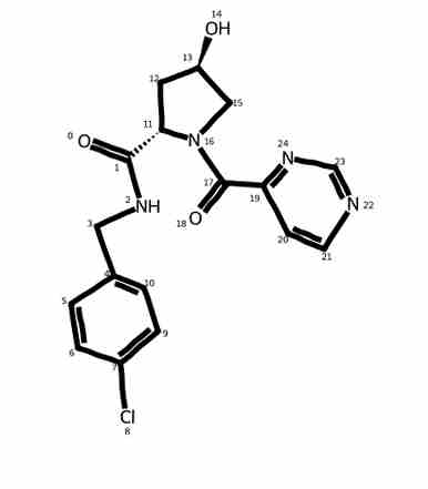 O=C(NCc1ccc(Cl)cc1)[C@@H]1C[C@@H](O)CN1C(=O)c1ccncn1